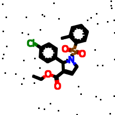 CCOC(=O)C1=CCN(S(=O)(=O)c2ccccc2C)C1c1ccc(Cl)cc1